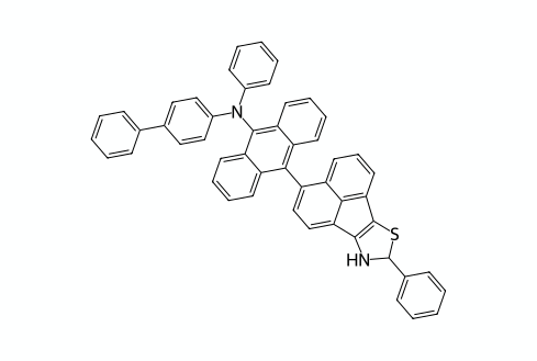 c1ccc(-c2ccc(N(c3ccccc3)c3c4ccccc4c(-c4ccc5c6c(cccc46)C4=C5NC(c5ccccc5)S4)c4ccccc34)cc2)cc1